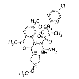 COc1cccc(OC)c1N(C(=O)[C@H]1CC[C@@H](OC)C1)N(C(=N)N)S(=O)(=O)[C@@H](C)[C@H](OC)c1ncc(Cl)cn1